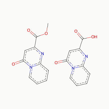 COC(=O)c1cc(=O)n2ccccc2n1.O=C(O)c1cc(=O)n2ccccc2n1